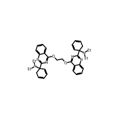 CCN(CC)C1(c2nc(OCCOc3nc(C4(N(CC)CC)C=CC=CC4)nc4ccccc34)c3ccccc3n2)C=CC=CC1